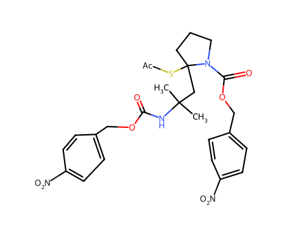 CC(=O)SC1(CC(C)(C)NC(=O)OCc2ccc([N+](=O)[O-])cc2)CCCN1C(=O)OCc1ccc([N+](=O)[O-])cc1